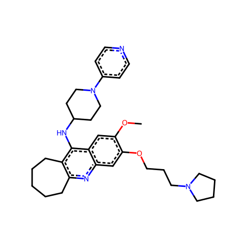 COc1cc2c(NC3CCN(c4ccncc4)CC3)c3c(nc2cc1OCCCN1CCCC1)CCCCC3